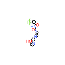 O=C(NCC(=O)N1CCC2(CCN(C3CCC(O)(c4ccccn4)CC3)C2)C1)c1cccc(C(F)(F)F)c1